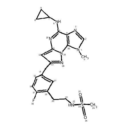 Cn1cnc2c(NC3CC3)nc3cc(-c4ccc(F)c(CCNS(C)(=O)=O)c4)nn3c21